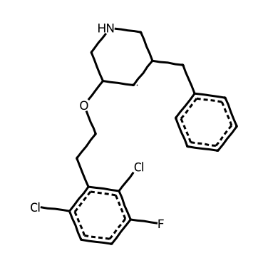 Fc1ccc(Cl)c(CCOC2[CH]C(Cc3ccccc3)CNC2)c1Cl